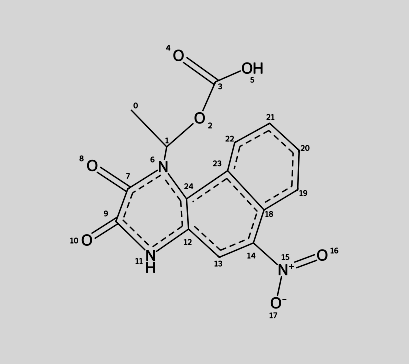 CC(OC(=O)O)n1c(=O)c(=O)[nH]c2cc([N+](=O)[O-])c3ccccc3c21